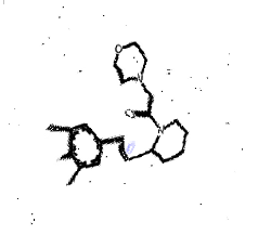 Cc1cc(C)cc(/C=C/C2CCCCN2C(=O)CN2CCOCC2)c1